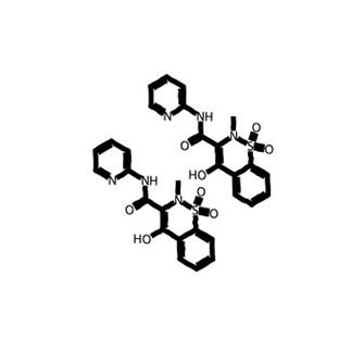 CN1C(C(=O)Nc2ccccn2)=C(O)c2ccccc2S1(=O)=O.CN1C(C(=O)Nc2ccccn2)=C(O)c2ccccc2S1(=O)=O